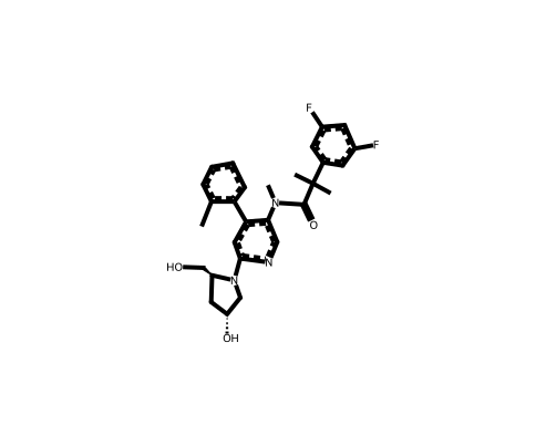 Cc1ccccc1-c1cc(N2C[C@H](O)C[C@H]2CO)ncc1N(C)C(=O)C(C)(C)c1cc(F)cc(F)c1